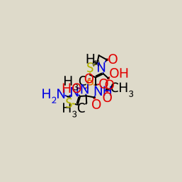 CCC1(c2csc(N)n2)C(=O)NC(OC(C)=O)(C2=C(C(=O)O)N3C(=O)C[C@H]3SC2)P(C)(=O)N1O